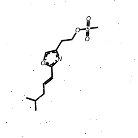 CC(C)C/C=C/c1nc(CCOS(C)(=O)=O)co1